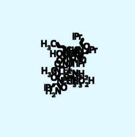 C/C=C/C[C@@H](C)[C@@H](O)[C@@H](C(=O)N[C@@H](CC)C(=O)N(C)[C@H](CSC(C)(C)[C@@H](N)C(=O)O)C(=O)N(C)[C@@H](CC(C)C)C(N)=O)N(C)C(=O)[C@H](C(C)C)N(C)C(=O)[C@H](CC(C)C)N(C)C(=O)CCC(C)C